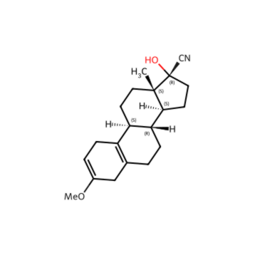 COC1=CCC2=C(CC[C@@H]3[C@@H]2CC[C@@]2(C)[C@H]3CC[C@]2(O)C#N)C1